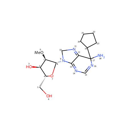 CO[C@@H]1[C@H](O)[C@@H](CO)O[C@H]1N1CN=C2C1=NC=NC2(N)C1CCCC1